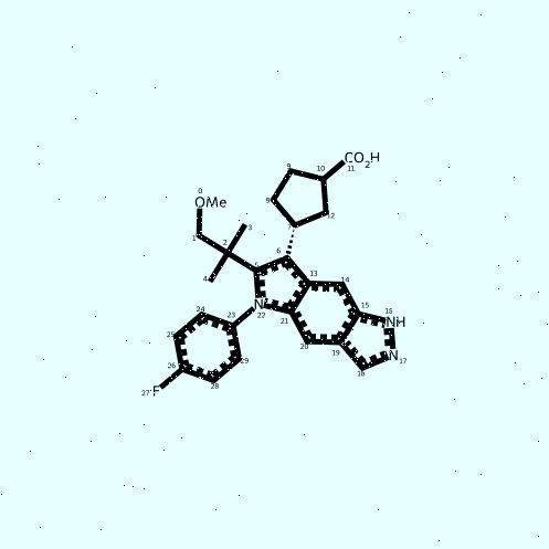 COCC(C)(C)c1c([C@@H]2CCC(C(=O)O)C2)c2cc3[nH]ncc3cc2n1-c1ccc(F)cc1